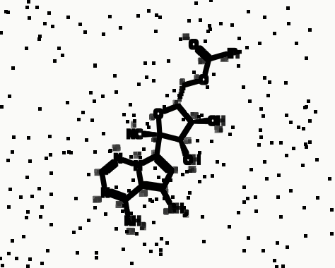 Bc1cc([C@]2(C#N)O[C@H](COC(=O)C(C)C)[C@@H](O)[C@H]2O)n2ncnc(N)c12